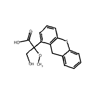 COC(CO)(C(=O)O)c1cccc2c1Cc1ccccc1S2